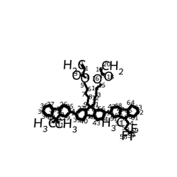 C=CC(=O)OCCCCCC1(CCCCCOC(=O)C=C)c2cc(-c3ccc4c(c3)C(C)(C)c3ccccc3-4)ccc2-c2ccc(-c3ccc4c(c3)C(C)(CCC(F)(F)F)c3ccccc3-4)cc21